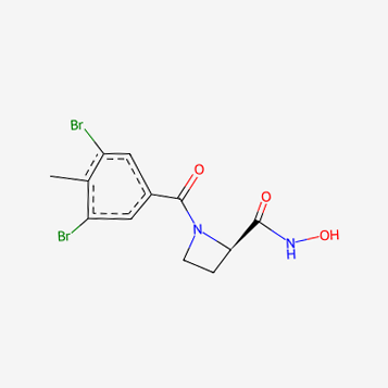 Cc1c(Br)cc(C(=O)N2CC[C@@H]2C(=O)NO)cc1Br